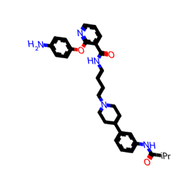 CC(C)C(=O)Nc1cccc(C2CCN(CCCCNC(=O)c3cccnc3Oc3ccc(N)cc3)CC2)c1